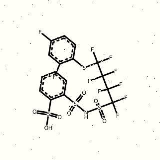 O=S(=O)(O)c1ccccc1S(=O)(=O)NS(=O)(=O)C(F)(F)C(F)(F)C(F)(F)C(F)(F)Sc1ccc(F)cc1F